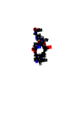 CCn1c(-c2cccnc2[C@H](C)OC)c2c3cc(ccc31)-c1cc(O)cc(c1)C[C@H](NC(=O)[C@H](C(C)C)N(C)C(=O)c1ccc([C@@H]3CN3[S+]([O-])C(C)(C)C)nc1)C(=O)N1CCC[C@H](N1)C(=O)OCC(C)(C)C2